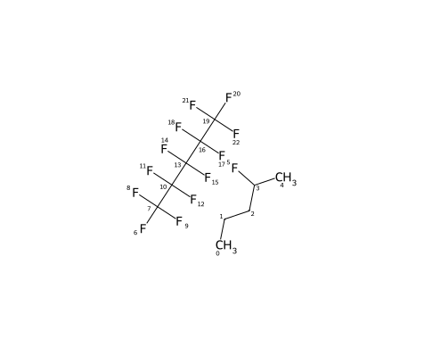 CCCC(C)F.FC(F)(F)C(F)(F)C(F)(F)C(F)(F)C(F)(F)F